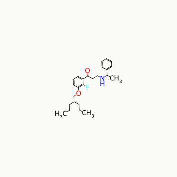 CCCC(CCC)COc1cccc(C(=O)CCNC(C)c2ccccc2)c1F